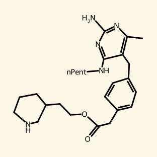 CCCCCNc1nc(N)nc(C)c1Cc1ccc(CC(=O)OCCC2CCCNC2)cc1